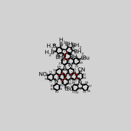 Bc1c(B)c(B)c2c(c1B)c1c(B)c(B)c(B)c(B)c1n2-c1ccc2c(c1)N(c1ccc(C(C)(C)C)cc1-c1ccccc1)c1cc(-c3cc(-n4c5ccccc5c5ccccc54)ccc3C#N)cc3c1B2c1ccc(-c2cc(C#N)ccc2N(c2ccccc2)c2ccccc2)cc1N3c1ccc(C(C)(C)C)cc1-c1ccccc1